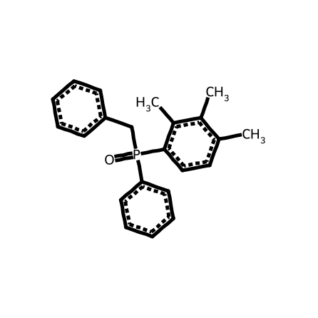 Cc1ccc(P(=O)(Cc2ccccc2)c2ccccc2)c(C)c1C